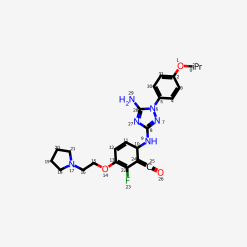 CC(C)Oc1ccc(-n2nc(NC3C=CC(OCCN4CCCC4)=C(F)C3=C=O)nc2N)cc1